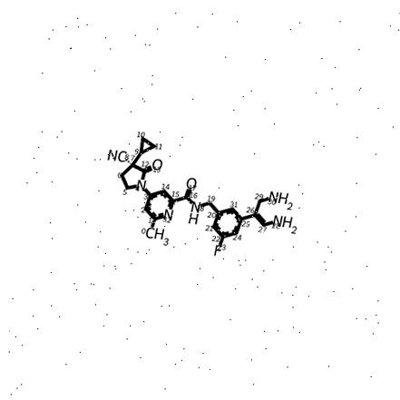 Cc1cc(N2CC[C@@](C#N)(C3CC3)C2=O)cc(C(=O)NCc2cc(F)cc(/C(=C/N)CN)c2)n1